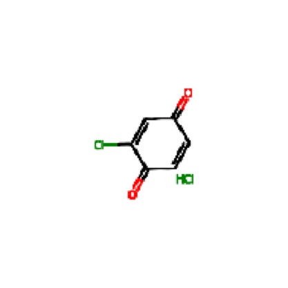 Cl.O=C1C=CC(=O)C(Cl)=C1